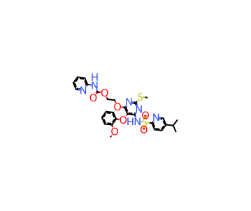 COc1ccccc1Oc1c(NS(=O)(=O)c2ccc(C(C)C)cn2)nc(SC)nc1OCCOC(=O)Nc1ccccn1